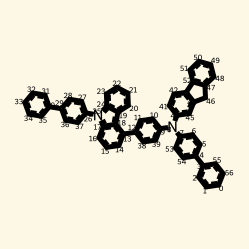 c1ccc(-c2ccc(N(c3ccc(-c4cccc5c4c4ccccc4n5-c4ccc(-c5ccccc5)cc4)cc3)c3ccc4c(c3)Cc3ccccc3-4)cc2)cc1